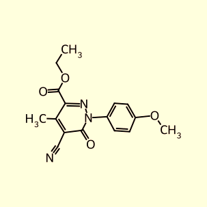 CCOC(=O)c1nn(-c2ccc(OC)cc2)c(=O)c(C#N)c1C